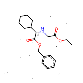 CCOC(=O)CN[C@H](C(=O)OCc1ccccc1)C1CCCCC1